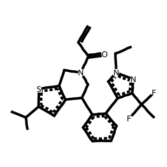 C=CC(=O)N1Cc2sc(C(C)C)cc2C(c2ccccc2-c2cn(CC)nc2C(C)(F)F)C1